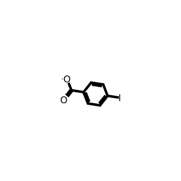 [O]C(=O)c1ccc(I)cc1